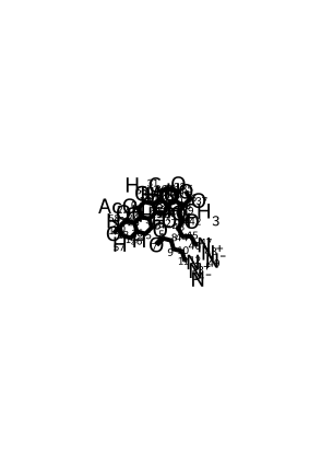 CC(=O)O[C@H]1C2C([C@@H](OC(=O)CCCCN=[N+]=[N-])C[C@H]3C[C@@H]4O[C@@H]4[C@H](O)[C@]23C)[C@@H]2[C@@H](O)[C@@H]3[C@H]([C@H](C)[C@H]4O[C@]45OC(=O)[C@@](C)(OC(=O)CCCCN=[N+]=[N-])[C@]35C)[C@@]2(C)[C@H]1OC(C)=O